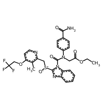 CCOC(=O)CN(C(=O)n1c([S+]([O-])Cc2nccc(OCC(F)(F)F)c2C)nc2ccccc21)c1ccc(C(N)=O)cc1